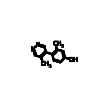 Cc1cc(O)ccc1-c1cnncc1C